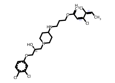 C=C(/C=C(Cl)\C(Cl)=C/C)OCCCNC1CCN(C[C@H](O)COc2ccc(Cl)c(Cl)c2)CC1